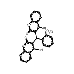 CCOC(=O)c1ccccc1C(c1c(O)c2ccccc2oc1=O)c1c(O)c2ccccc2oc1=O